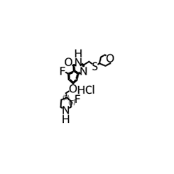 Cl.O=c1[nH]c(CSC2CCOCC2)nc2cc(OC[C@@H]3CCNC[C@H]3F)cc(F)c12